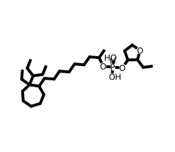 CCC1OCCC1O[PH](O)(O)OC(C)CCCCCCCC1CCCCCC1(CC)C(CC)CC